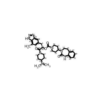 Cc1cc(C[C@@H](OC(=O)N2CCC(N3CCc4ccccc4NC3=O)CC2)C(=O)N2CCC(N(C)C)CC2)cc2nn[nH]c12